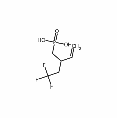 C=CC(CC(F)(F)F)CP(=O)(O)O